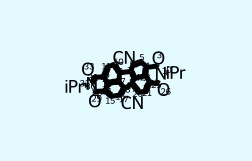 CC(C)N1C(=O)c2ccc3c4c(C#N)cc5c6c(cc(C#N)c(c7ccc(c2c37)C1=O)c64)C(=O)N(C(C)C)C5=O